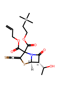 C=CCOC(=O)C1(C(=O)OCC[Si](C)(C)C)C(=C=S)S[C@@H]2[C@@H](C(C)O)C(=O)N21